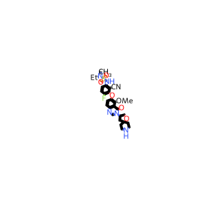 CCN(C)S(=O)(=O)Nc1ccc(F)c(Oc2ccc3ncn(C4COC5(CCNCC5)C4)c(=O)c3c2OC)c1C#N